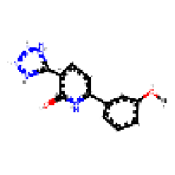 CCOc1cccc(-c2ccc(-c3nnn[nH]3)c(=O)[nH]2)c1